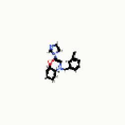 Cc1cccc(CN2C=C(N3C=NCC3)Oc3ccccc32)c1